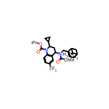 COC(=O)N(CC1=CCC2CC1C2(C)C)C1CC(C2CC2)N(C(=O)OC(C)C)c2ccc(C(F)(F)F)cc21